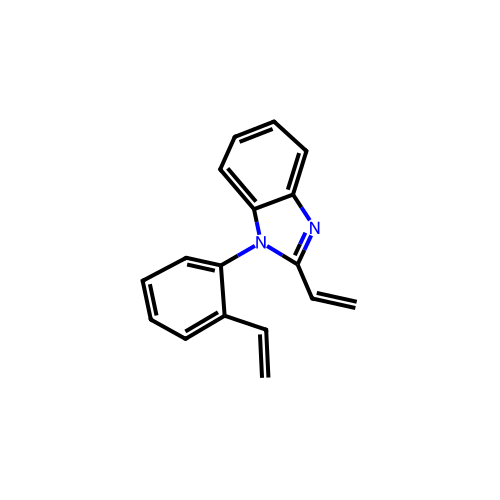 C=Cc1ccccc1-n1c(C=C)nc2ccccc21